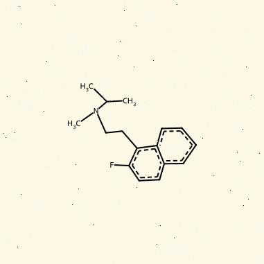 CC(C)N(C)CCc1c(F)ccc2ccccc12